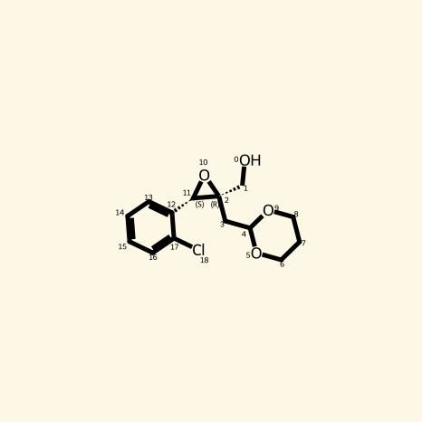 OC[C@@]1(CC2OCCCO2)O[C@H]1c1ccccc1Cl